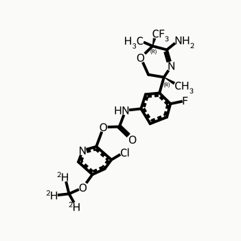 [2H]C([2H])([2H])Oc1cnc(OC(=O)Nc2ccc(F)c([C@]3(C)CO[C@@](C)(C(F)(F)F)C(N)=N3)c2)c(Cl)c1